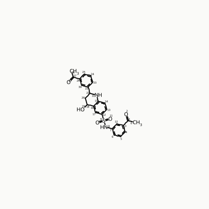 CC(=O)c1cccc(NS(=O)(=O)c2ccc3c(c2)C(O)CC(c2cccc(C(C)=O)c2)N3)c1